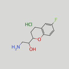 Cl.NCC(O)C1CCc2cc(F)ccc2O1